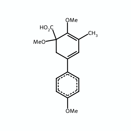 COC1=C(C)C=C(c2ccc(OC)cc2)CC1(OC)C(=O)O